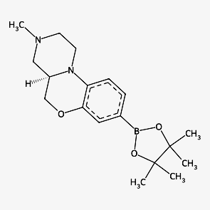 CN1CCN2c3ccc(B4OC(C)(C)C(C)(C)O4)cc3OC[C@H]2C1